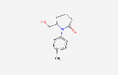 Cc1ccc(N2C(=O)CCCC2CO)cc1